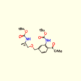 COC(=O)c1ccc(COC[C@@H](C)NC(=O)OC(C)(C)C)cc1NC(=O)OC(C)(C)C